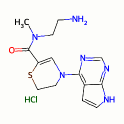 CN(CCN)C(=O)C1=CN(c2ncnc3[nH]ccc23)CCS1.Cl